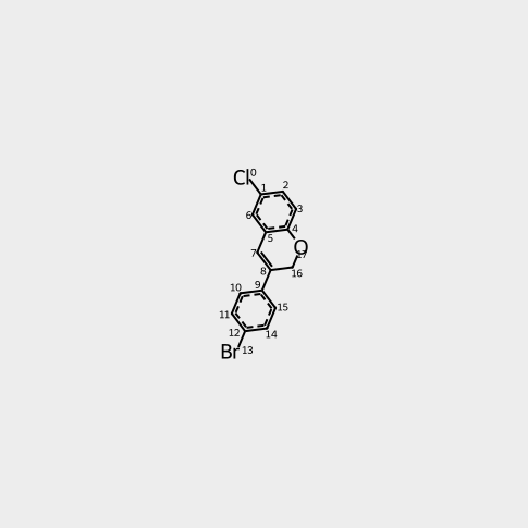 Clc1ccc2c(c1)C=C(c1ccc(Br)cc1)CO2